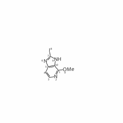 COc1nccc2nc(I)[nH]c12